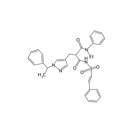 CCN(C(=O)C(Cc1cnn(C(C)c2ccccc2)c1)C(=O)NS(=O)(=O)C=Cc1ccccc1)c1ccccc1